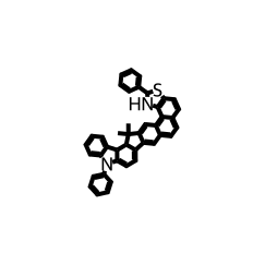 CC1(C)c2cc3c(ccc4ccc5c(c43)NC(c3ccccc3)S5)cc2C2=CC=C3C(c4ccccc4N3c3ccccc3)C21